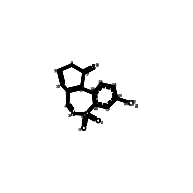 O=S1(=O)N=CC2=C(C(=S)CC=C2)c2ccc(C(F)(F)F)cc21